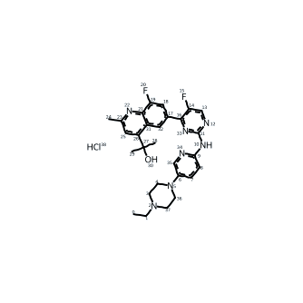 CCN1CCN(c2ccc(Nc3ncc(F)c(-c4cc(F)c5nc(C)cc(C(C)(C)O)c5c4)n3)nc2)CC1.Cl